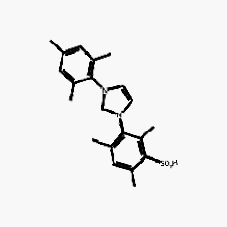 Cc1cc(C)c(N2C=CN(c3c(C)cc(C)c(S(=O)(=O)O)c3C)C2)c(C)c1